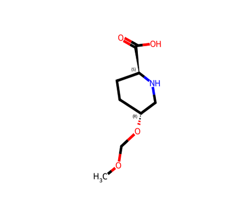 COCO[C@@H]1CC[C@@H](C(=O)O)NC1